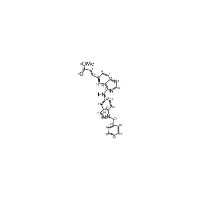 COC(=O)/C=C/c1ccc2ncnc(Nc3ccc4c(cnn4Cc4ccccc4)c3)c2c1